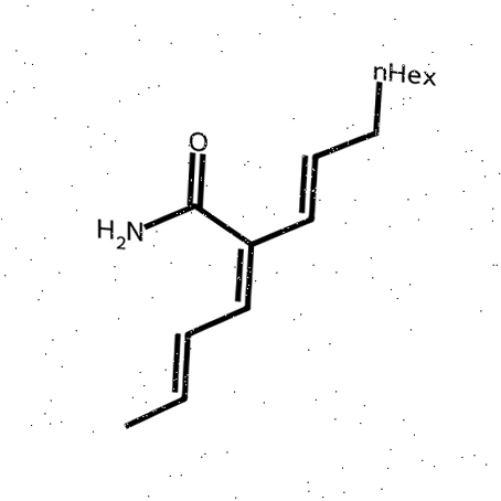 CC=CC=C(C=CCCCCCCC)C(N)=O